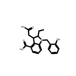 CCC1C(CC(=O)O)c2c(C(=O)O)cccc2N1Cc1ccccc1O